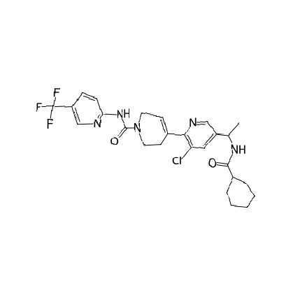 CC(NC(=O)C1CCCCC1)c1cnc(C2=CCN(C(=O)Nc3ccc(C(F)(F)F)cn3)CC2)c(Cl)c1